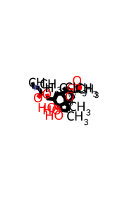 C/C=C(\C)C(=O)OCC1=CC2C(=O)C3(C=C(C)C(O)C3(O)C1O)[C@H](C)C[C@@](CC)(OC(C)=O)C2(C)C